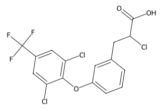 O=C(O)C(Cl)Cc1cccc(Oc2c(Cl)cc(C(F)(F)F)cc2Cl)c1